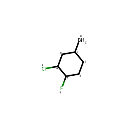 BC1CCC(F)C(Cl)C1